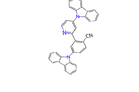 N#Cc1ccc(-n2c3ccccc3c3ccccc32)cc1-c1cc(-n2c3ccccc3c3ccccc32)ccn1